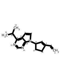 C=CC1=CC(n2ccc3c(C(C)C)ncnc32)CC1